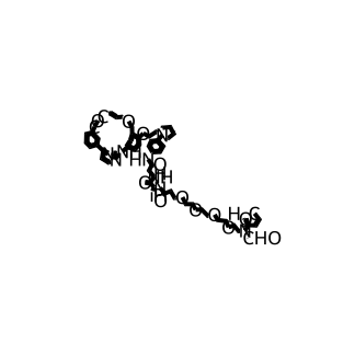 C/C=C\C(=O)N(C=O)CCOCCOCCOCCOCCC(=O)NC(C(=O)NCC(=O)Nc1ccc([N+]2(CCOc3ccc4cc3COC/C=C/COCc3cccc(c3)-c3ccnc(n3)N4)CCCC2)cc1)C(C)C